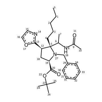 CCCCC[C@]1(C(C)NC(C)=O)[C@H](c2ncco2)C[C@H](C(=O)OC(C)(C)C)N1Cc1ccccc1